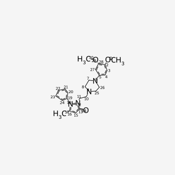 COc1ccc(N2CCN(CCn3c(=O)cc(C)n3-c3ccccc3)CC2)cc1OC